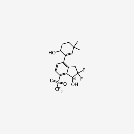 CC1(C)C=C(c2ccc(S(=O)(=O)C(F)(F)F)c3c2CC(F)(F)[C@H]3O)C(O)CC1